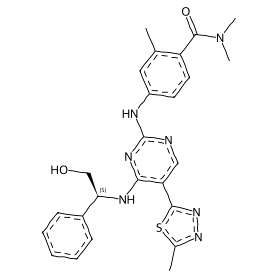 Cc1nnc(-c2cnc(Nc3ccc(C(=O)N(C)C)c(C)c3)nc2N[C@H](CO)c2ccccc2)s1